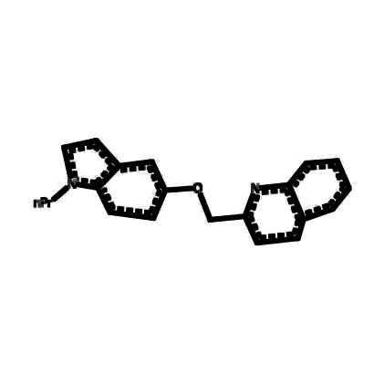 CCCn1ccc2cc(OCc3ccc4ccccc4n3)ccc21